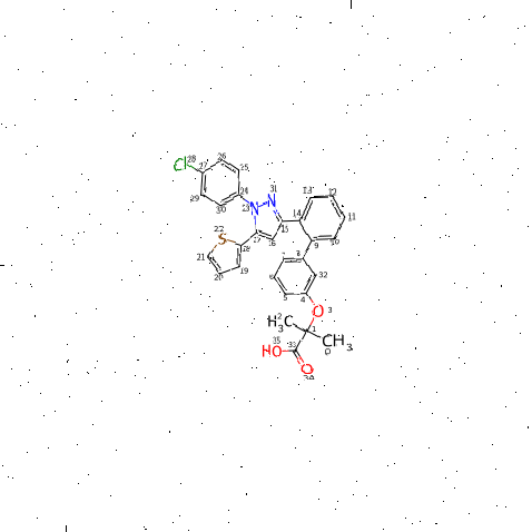 CC(C)(Oc1cccc(-c2ccccc2-c2cc(-c3cccs3)n(-c3ccc(Cl)cc3)n2)c1)C(=O)O